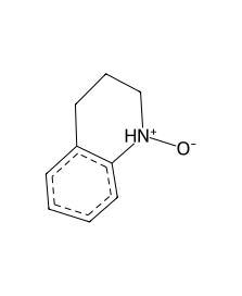 [O-][NH+]1CCCc2ccccc21